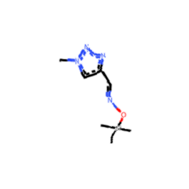 Cn1cc(/C=N/O[Si](C)(C)C)nn1